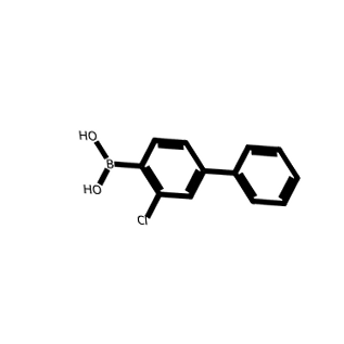 OB(O)c1ccc(-c2ccccc2)cc1Cl